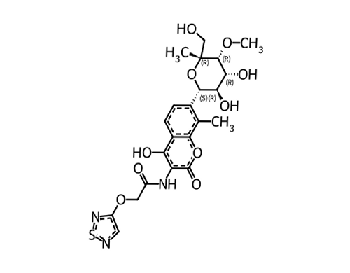 CO[C@@H]1[C@H](O)[C@@H](O)[C@H](c2ccc3c(O)c(NC(=O)COc4cnsn4)c(=O)oc3c2C)O[C@]1(C)CO